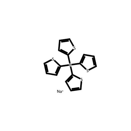 [Na+].c1csc([B-](c2cccs2)(c2cccs2)c2cccs2)c1